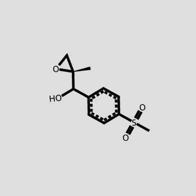 C[C@]1(C(O)c2ccc(S(C)(=O)=O)cc2)CO1